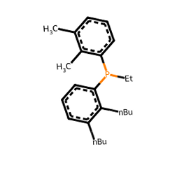 CCCCc1cccc(P(CC)c2cccc(C)c2C)c1CCCC